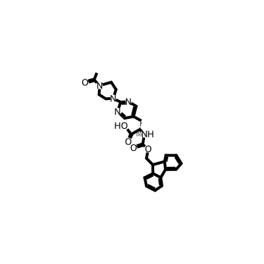 CC(=O)N1CCN(c2ncc(C[C@H](NC(=O)OCC3c4ccccc4-c4ccccc43)C(=O)O)cn2)CC1